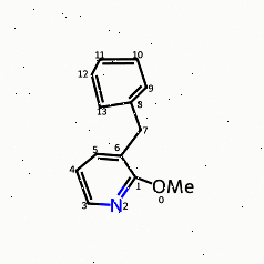 COc1ncccc1Cc1ccccc1